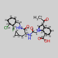 CC(=O)c1cn(CC(=O)N[C@@H](CC2CC2)C(=O)NCc2cccc(Cl)c2F)c2c(C(=O)O)cccc12